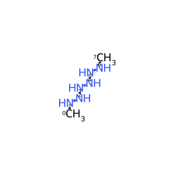 CNNNNNNC